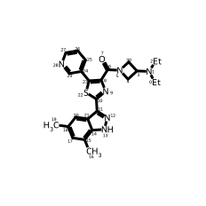 CCN(CC)C1CN(C(=O)c2nc(-c3n[nH]c4c(C)cc(C)cc34)sc2-c2cccnc2)C1